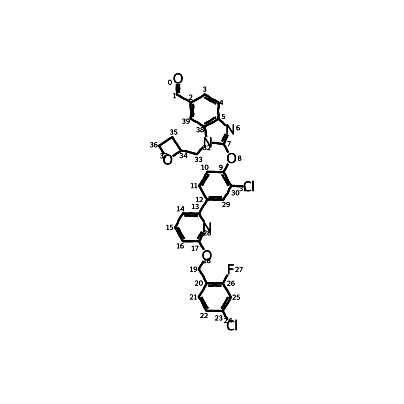 O=Cc1ccc2nc(Oc3ccc(-c4cccc(OCc5ccc(Cl)cc5F)n4)cc3Cl)n(CC3CCO3)c2c1